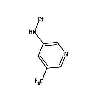 CCNc1cncc(C(F)(F)F)c1